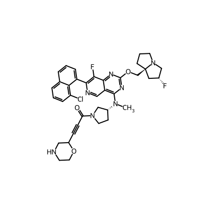 CN(c1nc(OC[C@@]23CCCN2C[C@H](F)C3)nc2c(F)c(-c3cccc4cccc(Cl)c34)ncc12)[C@@H]1CCN(C(=O)C#CC2CNCCO2)C1